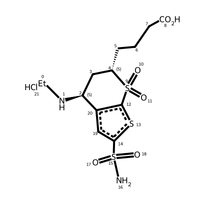 CCN[C@H]1C[C@H](CCCC(=O)O)S(=O)(=O)c2sc(S(N)(=O)=O)cc21.Cl